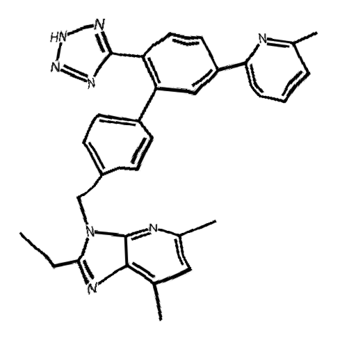 CCc1nc2c(C)cc(C)nc2n1Cc1ccc(-c2cc(-c3cccc(C)n3)ccc2-c2nn[nH]n2)cc1